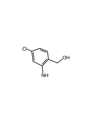 [NH]c1cc(Cl)ccc1CO